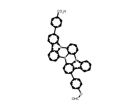 O=COc1ccc(-c2ccc3c4c2c2ccccc2n4-c2cccc4c2B3c2cccc3c5ccc(-c6ccc(C(=O)O)cc6)cc5n-4c23)cc1